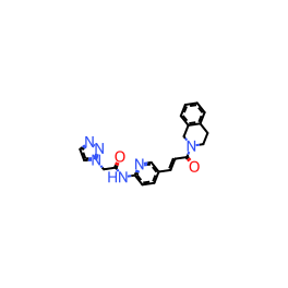 O=C(Cn1ccnn1)Nc1ccc(C=CC(=O)N2CCc3ccccc3C2)cn1